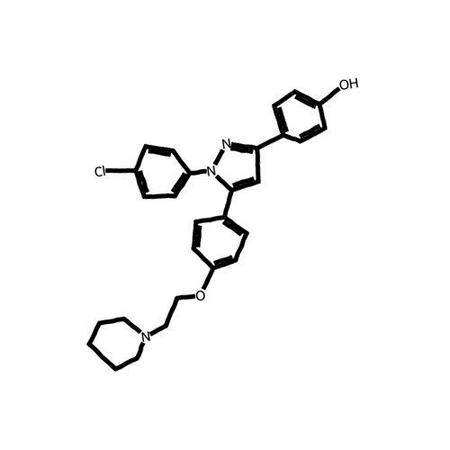 Oc1ccc(-c2cc(-c3ccc(OCCN4CCCCC4)cc3)n(-c3ccc(Cl)cc3)n2)cc1